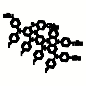 CCCCc1ccc(N(c2ccc(I)cc2)c2cc3c4c(c2)N(c2ccc(I)cc2)c2cc5c(cc2B4c2cc(C)ccc2S3)B2c3cc(CCCC)ccc3N(c3ccc(CCCC)cc3)c3cc(N(c4ccc(I)cc4)c4ccc(C(C)(C)C)cc4)cc(c32)N5c2ccc(I)cc2)cc1